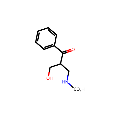 O=C(O)NCC(CO)C(=O)c1ccccc1